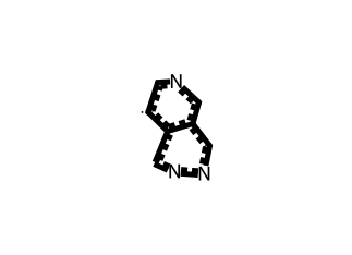 [c]1cncc2cnncc12